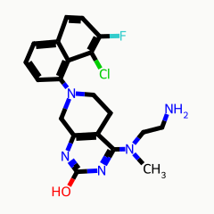 CN(CCN)c1nc(O)nc2c1CCN(c1cccc3ccc(F)c(Cl)c13)C2